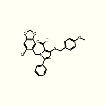 COc1ccc(CSc2nc(-c3ccccc3)n(Cc3cc4c(cc3Cl)OCO4)c2C(=O)O)cc1